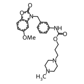 COc1ccc2oc(=O)n(Cc3cccc(NC(=O)OCCCN4CCN(C)CC4)c3)c2c1